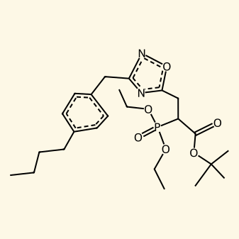 CCCCc1ccc(Cc2noc(CC(C(=O)OC(C)(C)C)P(=O)(OCC)OCC)n2)cc1